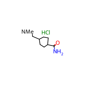 CNCC1CCC(C(N)=O)CC1.Cl